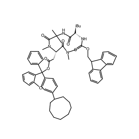 CC[C@H](C)[C@H](NC(=O)OCC1c2ccccc2-c2ccccc21)C(=O)NC(C)(C)C(=O)N(C)[C@@H](CC(=O)OC(c1ccccc1)(c1ccc(C2CCCCCCCC2)cc1)c1ccccc1Cl)C(=O)N(C)C